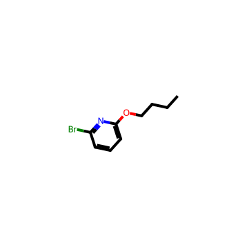 CCCCOc1cccc(Br)n1